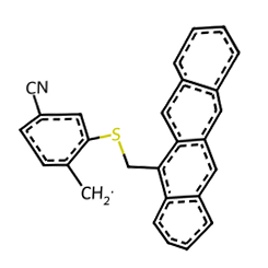 [CH2]c1ccc(C#N)cc1SCc1c2ccccc2cc2cc3ccccc3cc12